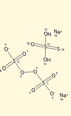 O=S(=O)([O-])OOS(=O)(=O)[O-].O=S(O)(O)=S.[Na+].[Na+]